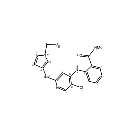 CNC(=O)c1ccccc1Nc1cc(Nc2cnn(CC(C)=O)c2)ncc1Cl